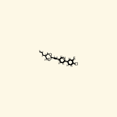 CCCC1COC(C#Cc2ccc(-c3ccc(Cl)c(F)c3)nc2)OC1